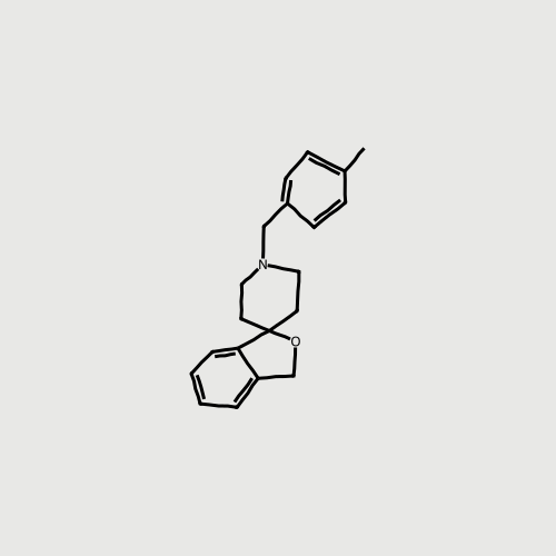 Cc1ccc(CN2CCC3(CC2)OCc2ccccc23)cc1